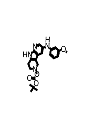 COc1cccc(Nc2cnc3[nH]c4c(c3c2)CN(OC(=O)OC(C)(C)C)CC4)c1